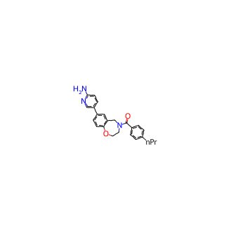 CCCc1ccc(C(=O)N2CCOc3ccc(-c4ccc(N)nc4)cc3C2)cc1